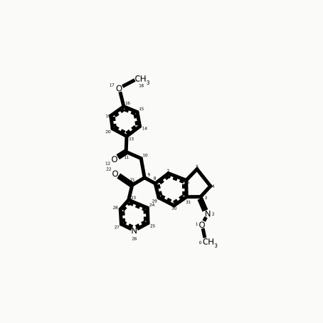 CO/N=C1/CCc2cc(C(CC(=O)c3ccc(OC)cc3)C(=O)c3ccncc3)ccc21